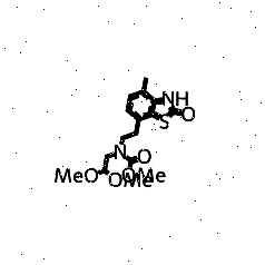 COC(=O)N(CCc1ccc(C)c2[nH]c(=O)sc12)CC(OC)OC